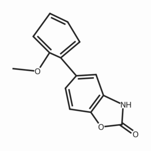 COc1ccccc1-c1ccc2oc(=O)[nH]c2c1